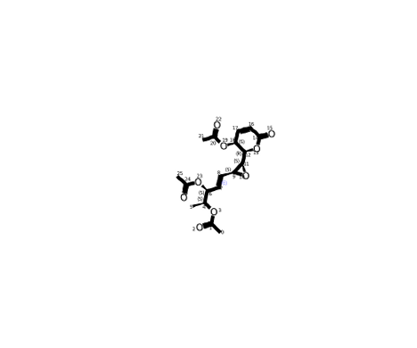 CC(=O)O[C@@H](C)[C@H](/C=C/[C@@H]1O[C@@H]1[C@@H]1OC(=O)C=C[C@@H]1OC(C)=O)OC(C)=O